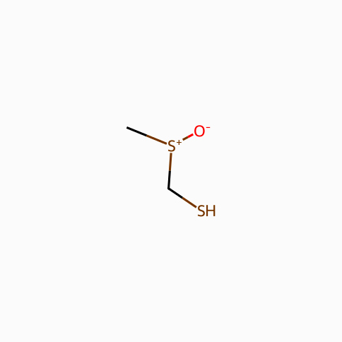 C[S+]([O-])CS